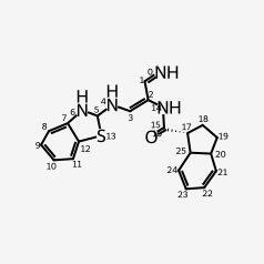 N=C/C(=C\NC1Nc2ccccc2S1)NC(=O)[C@@H]1CCC2C=CC=CC21